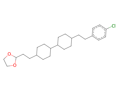 Clc1ccc(CCC2CCC(C3CCC(CCC4OCCO4)CC3)CC2)cc1